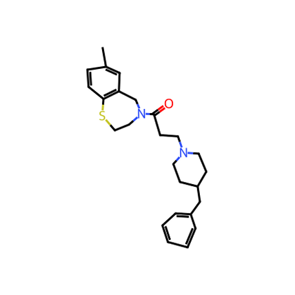 Cc1ccc2c(c1)CN(C(=O)CCN1CCC(Cc3ccccc3)CC1)CCS2